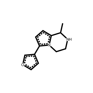 CC1NCCn2c(-c3ccoc3)ccc21